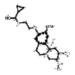 COc1cc2c(cc1OCCOC(C#N)C1CC1)CCN1C[C@@H](OC(C)(C)C)[C@H](O)C[C@H]21